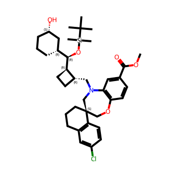 COC(=O)c1ccc2c(c1)N(C[C@@H]1CC[C@H]1[C@H](O[Si](C)(C)C(C)(C)C)[C@@H]1CCC[C@H](O)C1)C[C@@]1(CCCc3cc(Cl)ccc31)CO2